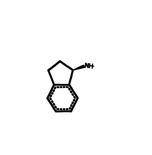 [NH][C@@H]1CCc2ccccc21